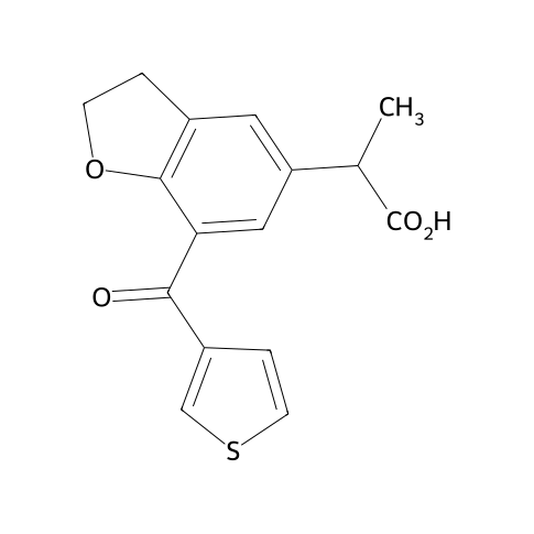 CC(C(=O)O)c1cc2c(c(C(=O)c3ccsc3)c1)OCC2